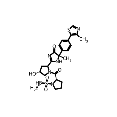 BBS(=O)(=O)N1CCC[C@@H]1C(=O)N1C[C@H](O)CC1C1=NC(=O)[C@](C)(c2ccc(-c3scnc3C)cc2)N1